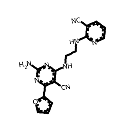 N#Cc1cccnc1NCCNc1nc(N)nc(-c2ccco2)c1C#N